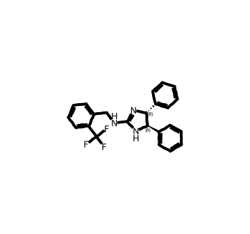 FC(F)(F)c1ccccc1CNC1=N[C@H](c2ccccc2)[C@@H](c2ccccc2)N1